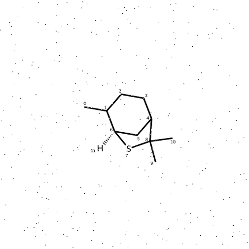 CC1CCC2C[C@H]1SC2(C)C